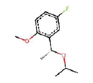 COc1ccc(F)cc1[C@@H](C)OC(C)C